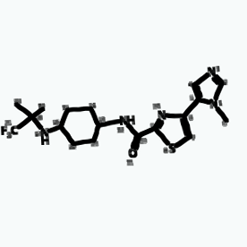 Cn1cncc1-c1csc(C(=O)NC2CCC(NC(C)(C)C(F)(F)F)CC2)n1